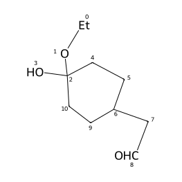 CCOC1(O)CCC(CC=O)CC1